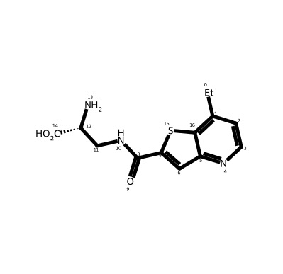 CCc1ccnc2cc(C(=O)NC[C@@H](N)C(=O)O)sc12